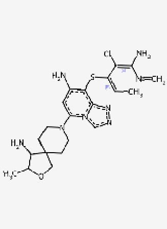 C=N/C(N)=C(Cl)\C(=C/C)Sc1c(N)cc(N2CCC3(CC2)COC(C)C3N)n2cnnc12